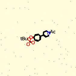 CC(=O)N1CC=C(c2ccc(OC(=O)OC(C)(C)C)c(=O)cc2)CC1